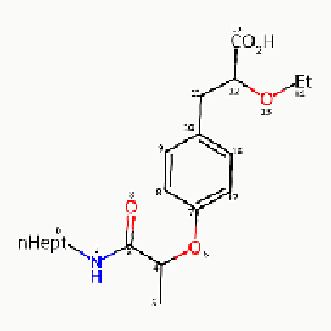 CCCCCCCNC(=O)C(C)Oc1ccc(CC(OCC)C(=O)O)cc1